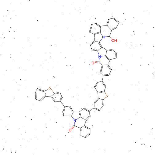 O=c1c2ccccc2c2cc(-c3ccc4sc5cc(-c6ccc7c(c6)c(=O)n6c8ccc9c%10cccc%11c%10n(c9c8c8cccc7c86)C(O)c6ccccc6-%11)ccc5c4c3)cc3c4cc(-c5ccc6sc7ccccc7c6c5)ccc4n1c23